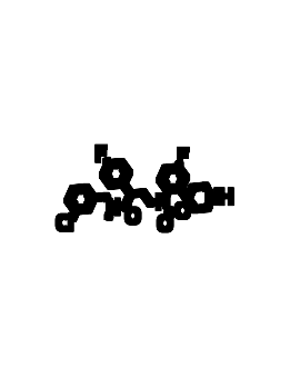 CN(Cc1cccc(Cl)c1)C(=O)C(CCN1C(=O)OC2(CCNCC2)c2cc(F)ccc21)c1ccc(F)cc1